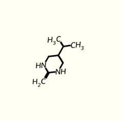 C=C1NCC(C(C)C)CN1